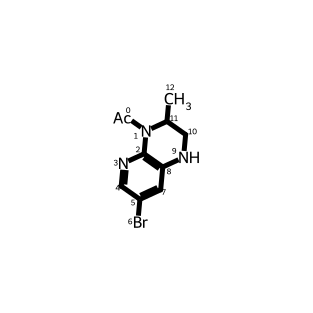 CC(=O)N1c2ncc(Br)cc2NCC1C